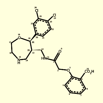 O=C(COc1ccccc1C(=O)O)NC[C@@H]1CNCCO[C@H]1c1ccc(Cl)c(Cl)c1